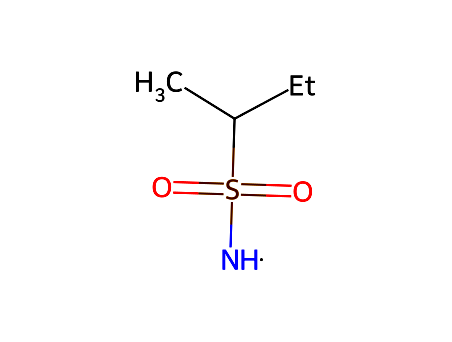 CCC(C)S([NH])(=O)=O